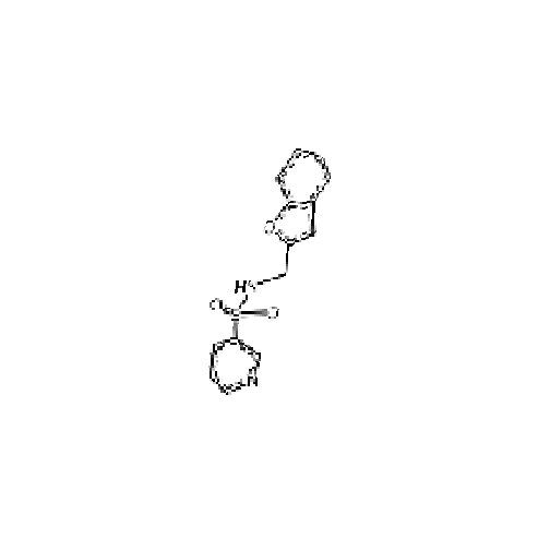 O=S(=O)(NCc1cc2ccccc2o1)c1cccnc1